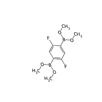 COB(OC)c1cc(F)c(B(OC)OC)cc1F